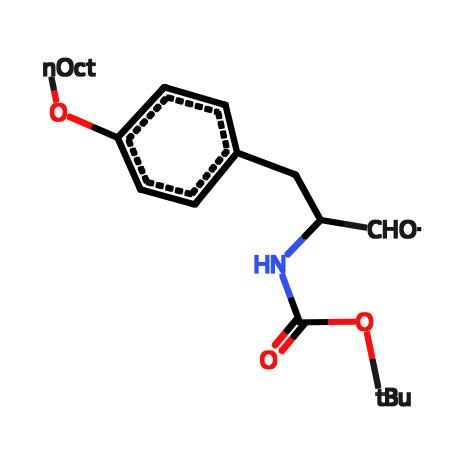 CCCCCCCCOc1ccc(CC([C]=O)NC(=O)OC(C)(C)C)cc1